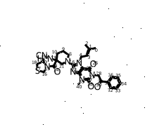 CC(C)=CCn1c(N2CCCC(N)(C(=O)N3CSCC3C#N)C2)nc2c1c(=O)n(CC(=O)c1ccccc1)c(=O)n2C